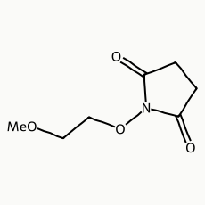 COCCON1C(=O)CCC1=O